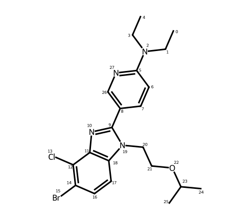 CCN(CC)c1ccc(-c2nc3c(Cl)c(Br)ccc3n2CCOC(C)C)cn1